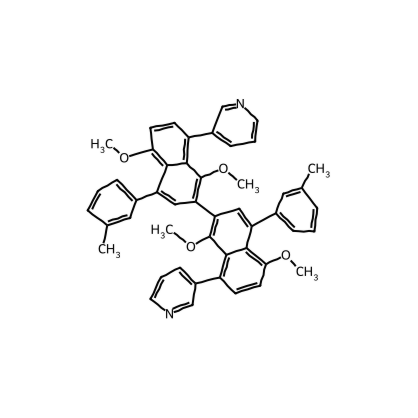 COc1ccc(-c2cccnc2)c2c(OC)c(-c3cc(-c4cccc(C)c4)c4c(OC)ccc(-c5cccnc5)c4c3OC)cc(-c3cccc(C)c3)c12